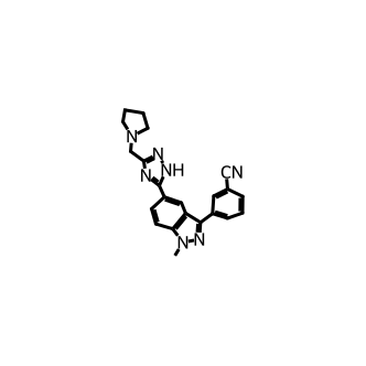 Cn1nc(-c2cccc(C#N)c2)c2cc(-c3nc(CN4CCCC4)n[nH]3)ccc21